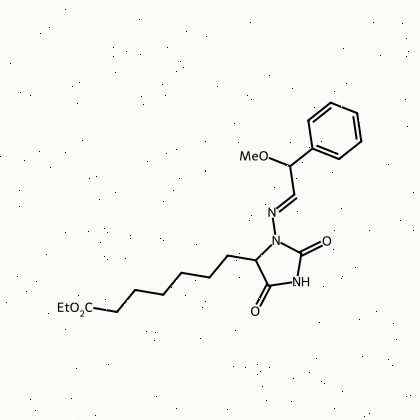 CCOC(=O)CCCCCCC1C(=O)NC(=O)N1N=CC(OC)c1ccccc1